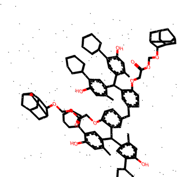 Cc1cc(O)c(C2CCCCC2)cc1C(c1cc(C2CCCCC2)c(O)cc1C)c1cc(Cc2ccc(OCC(=O)OCOC3C4CC5CC(C4)CC3C5)c(C(c3cc(C4CCCCC4)c(O)cc3C)c3cc(C4CCCCC4)c(O)cc3C)c2)ccc1OCC(=O)OCOC1C2CC3CC(C2)CC1C3